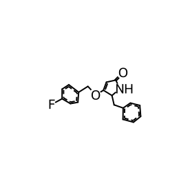 O=C1C=C(OCc2ccc(F)cc2)C(Cc2ccccc2)N1